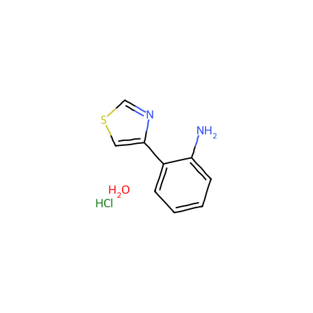 Cl.Nc1ccccc1-c1cscn1.O